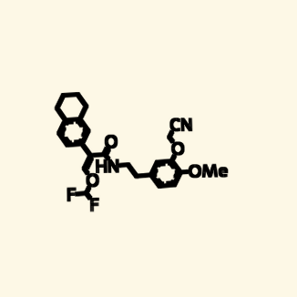 COc1ccc(CCNC(=O)/C(=C\OC(F)F)c2ccc3c(c2)CCCC3)cc1OCC#N